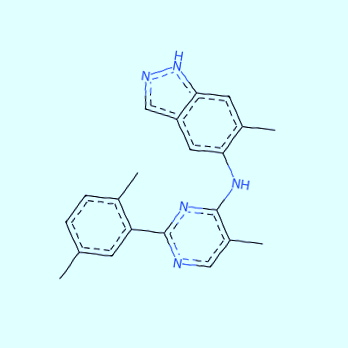 Cc1ccc(C)c(-c2ncc(C)c(Nc3cc4cn[nH]c4cc3C)n2)c1